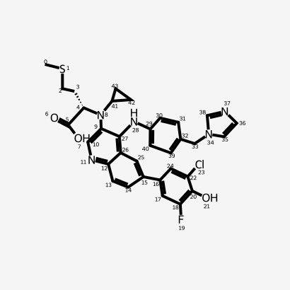 CSCC[C@@H](C(=O)O)N(c1cnc2ccc(-c3cc(F)c(O)c(Cl)c3)cc2c1Nc1ccc(Cn2ccnc2)cc1)C1CC1